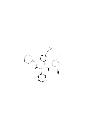 N#CN1C[C@H](O)C[C@@H]1C(=O)N(c1ccc(C2CC2)s1)C(C(=O)NC1CCCCC1)c1cccnc1